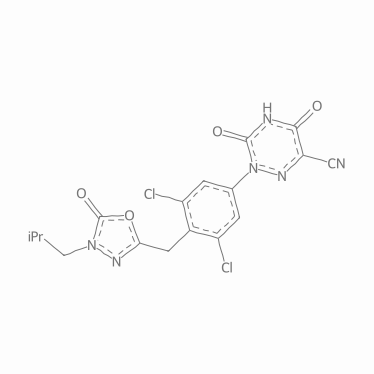 CC(C)Cn1nc(Cc2c(Cl)cc(-n3nc(C#N)c(=O)[nH]c3=O)cc2Cl)oc1=O